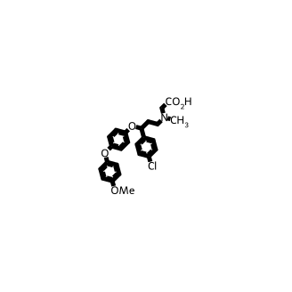 COc1ccc(Oc2ccc(OC(CCN(C)CC(=O)O)c3ccc(Cl)cc3)cc2)cc1